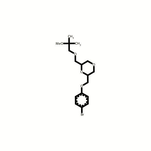 COC(C)(C)COCC1COCC(COc2ccc(Br)cc2)O1